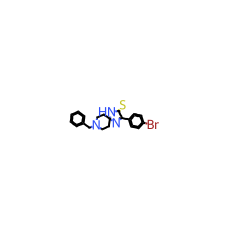 S=C1NC2(CCN(Cc3ccccc3)CC2)N=C1c1ccc(Br)cc1